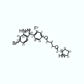 Fc1cc(OCCCOC[C@@H]2CCCN2)ccc1-c1n[nH]c2cc(Br)ccc12